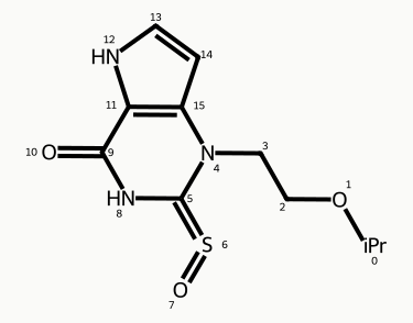 CC(C)OCCn1c(=S=O)[nH]c(=O)c2[nH]ccc21